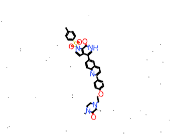 Cc1ccc(S(=O)(=O)n2ccc3c(-c4ccc5nc(-c6ccc(OCCN7CCN(C)C(=O)[C@H]7C)cc6)ccc5c4)c[nH]c(=O)c32)cc1